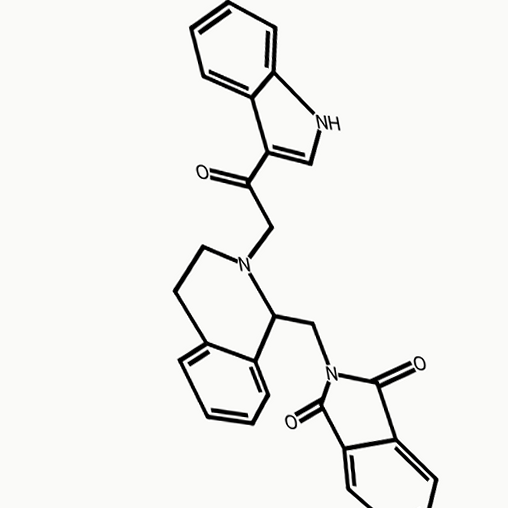 O=C(CN1CCc2ccccc2C1CN1C(=O)c2ccccc2C1=O)c1c[nH]c2ccccc12